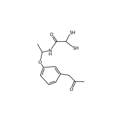 CC(=O)Cc1cccc(OC(C)NC(=O)C(S)S)c1